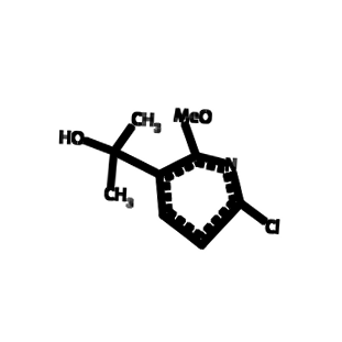 COc1nc(Cl)ccc1C(C)(C)O